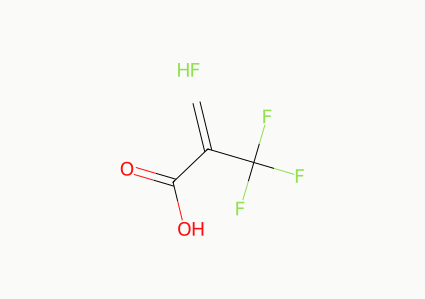 C=C(C(=O)O)C(F)(F)F.F